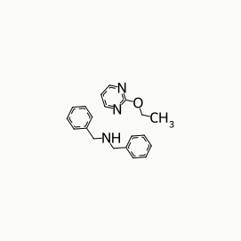 CCOc1ncccn1.c1ccc(CNCc2ccccc2)cc1